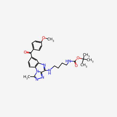 COc1ccc(C(=O)c2ccc3c(c2)nc(NCCCCNC(=O)OC(C)(C)C)c2nnc(C)n23)cc1